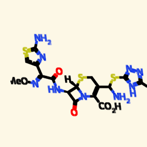 CON=C(C(=O)N[C@@H]1C(=O)N2C(C(=O)O)=C(C(N)Sc3nnc(C(F)(F)F)[nH]3)CS[C@@H]12)c1csc(N)n1